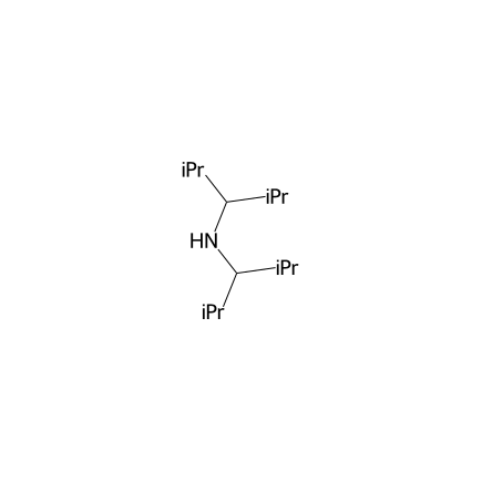 CC(C)C(NC(C(C)C)C(C)C)C(C)C